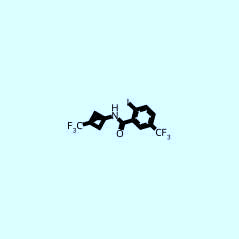 O=C(NC12CC(C(F)(F)F)(C1)C2)c1cc(C(F)(F)F)ccc1I